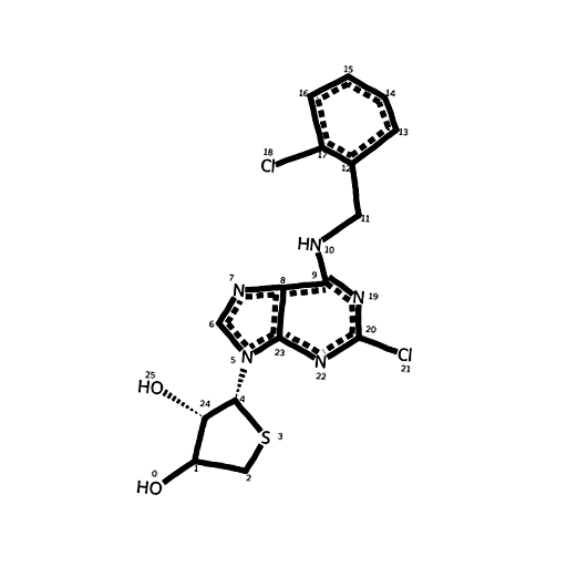 OC1CS[C@@H](n2cnc3c(NCc4ccccc4Cl)nc(Cl)nc32)[C@H]1O